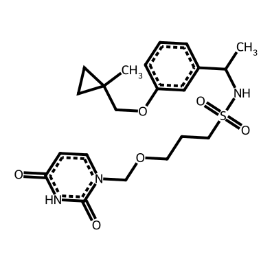 CC(NS(=O)(=O)CCCOCn1ccc(=O)[nH]c1=O)c1cccc(OCC2(C)CC2)c1